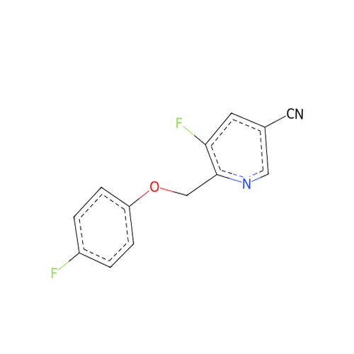 N#Cc1cnc(COc2ccc(F)cc2)c(F)c1